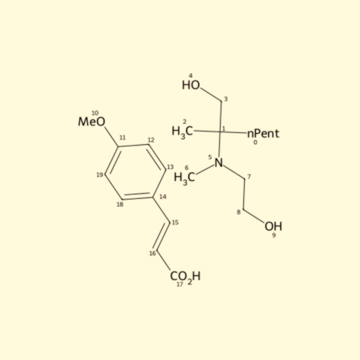 CCCCCC(C)(CO)N(C)CCO.COc1ccc(C=CC(=O)O)cc1